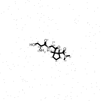 C[C@@H](NC(=O)[C@@H](N)CO)C(=O)C1(C)CCCC1(C)C(=O)N(C)C